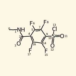 CNC(=O)c1c(F)c(F)c(S(=O)(=O)Cl)c(F)c1F